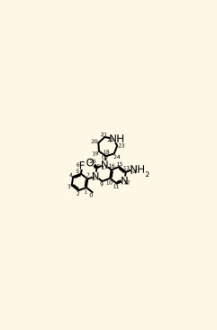 Cc1cccc(F)c1N1Cc2cnc(N)cc2N([C@H]2CCCNCC2)C1=O